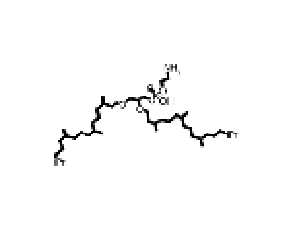 CC(C)CCCC(C)CCCC(C)CCCC(C)CCOCC(COP(=O)(O)OCCN)OCCC(C)CCCC(C)CCCC(C)CCCC(C)C